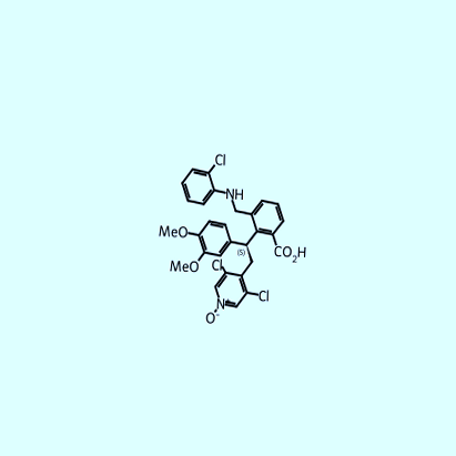 COc1ccc([C@H](Cc2c(Cl)c[n+]([O-])cc2Cl)c2c(CNc3ccccc3Cl)cccc2C(=O)O)cc1OC